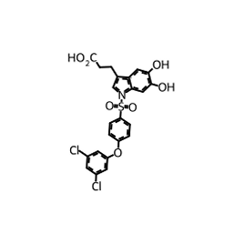 O=C(O)CCc1cn(S(=O)(=O)c2ccc(Oc3cc(Cl)cc(Cl)c3)cc2)c2cc(O)c(O)cc12